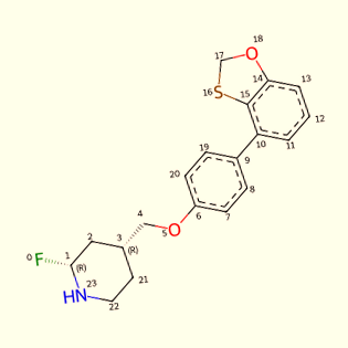 F[C@@H]1C[C@H](COc2ccc(-c3cccc4c3SCO4)cc2)CCN1